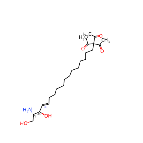 CC(=O)C(CCCCCCCCCCCC/C=C/[C@@H](O)[C@@H](N)CO)(C(C)=O)C(C)=O